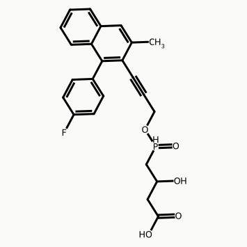 Cc1cc2ccccc2c(-c2ccc(F)cc2)c1C#CCO[PH](=O)CC(O)CC(=O)O